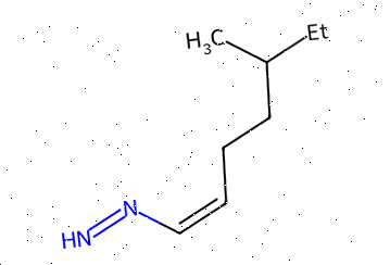 CCC(C)CC/C=C\N=N